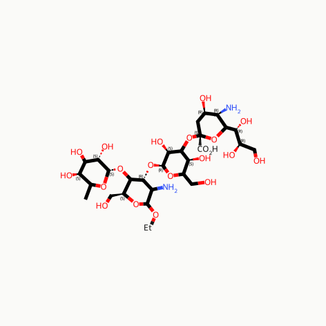 CCOC1O[C@@H](CO)C(O[C@@H]2OC(C)[C@@H](O)C(O)[C@@H]2O)[C@H](O[C@@H]2OC(CO)[C@H](O)C(O[C@]3(C(=O)O)C[C@@H](O)[C@@H](N)C([C@H](O)[C@H](O)CO)O3)[C@@H]2O)C1N